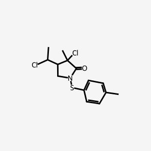 Cc1ccc(SN2CC(C(C)Cl)C(C)(Cl)C2=O)cc1